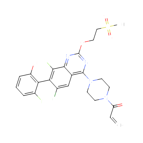 C=CC(=O)N1CCN(c2nc(OCCS(C)(=O)=O)nc3c(F)c(-c4c(O)cccc4F)c(Cl)cc23)CC1